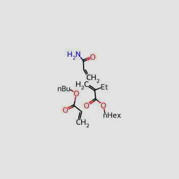 C=C(CC)C(=O)OCCCCCC.C=CC(=O)OCCCC.C=CC(N)=O